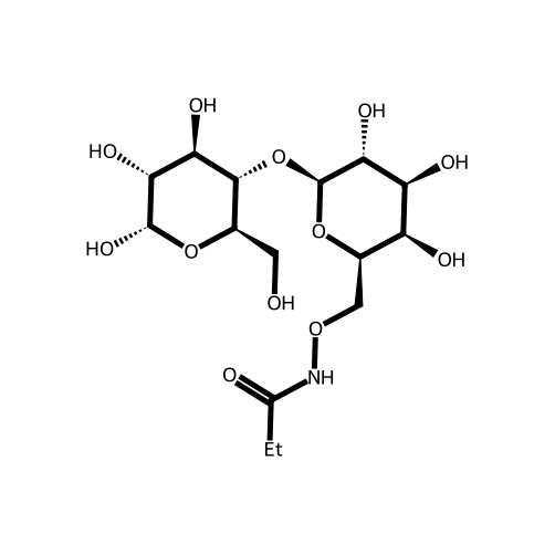 CCC(=O)NOC[C@H]1O[C@@H](O[C@H]2[C@H](O)[C@@H](O)[C@@H](O)O[C@@H]2CO)[C@H](O)[C@@H](O)[C@H]1O